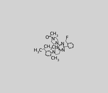 CC(=O)N1CCN(c2nc(-c3ccccc3CF)nc3c2CN(c2cc(C(C)C)ccc2C)CC3)[C@H](C)C1